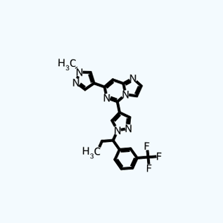 CCC(c1cccc(C(F)(F)F)c1)n1cc(-c2nc(-c3cnn(C)c3)cc3nccn23)cn1